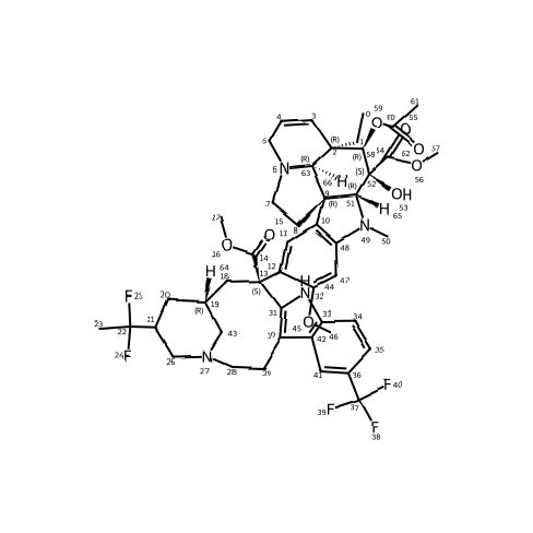 CC[C@]12C=CCN3CC[C@@]4(c5cc([C@@]6(C(=O)OC)C[C@H]7CC(C(C)(F)F)CN(CCc8c6[nH]c6ccc(C(F)(F)F)cc86)C7)c(OC)cc5N(C)[C@H]4[C@@](O)(C(=O)OC)[C@@H]1OC(C)=O)[C@@H]32